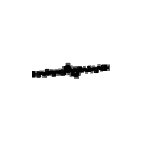 SCCSCCSCCCOc1cccc(-c2cccc(OCCCSCCSCCS)c2)c1